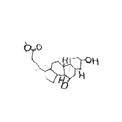 COC(=O)CC[C@@H](C)[C@H]1CCC2[C@@H]3C(=O)C[C@@H]4C[C@H](O)CC[C@]4(C)[C@H]3CC[C@@]21C